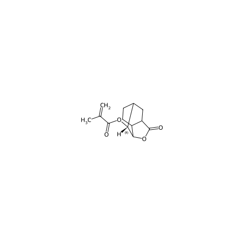 C=C(C)C(=O)O[C@@H]1C2CCC3C(C2)C(=O)OC31